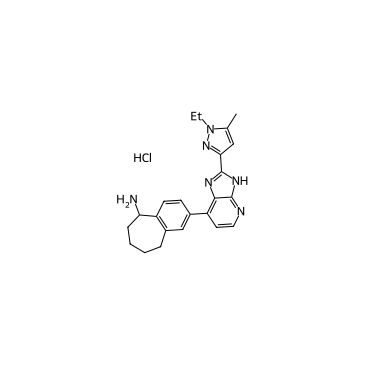 CCn1nc(-c2nc3c(-c4ccc5c(c4)CCCCC5N)ccnc3[nH]2)cc1C.Cl